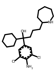 Nc1c(Cl)cc(C(O)(CCCC2CCCCCN2)C2CCCCC2)cc1Cl